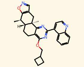 C[C@H]1c2oncc2C[C@@]2(C)c3nc(-c4ccnc5ccccc45)nc(OCC4CCC4)c3CC[C@H]12